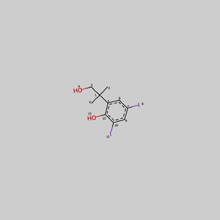 CC(C)(CO)c1cc(I)cc(I)c1O